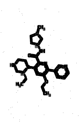 CCOc1cc(N2CCNC[C@H]2CC)c(C(=O)N[C@@H]2CCN(C)C2)nc1-c1cccnc1